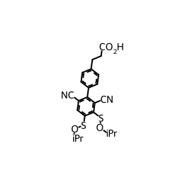 CC(C)OSc1cc(C#N)c(-c2ccc(CCC(=O)O)cc2)c(C#N)c1SOC(C)C